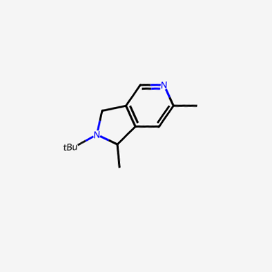 Cc1cc2c(cn1)CN(C(C)(C)C)C2C